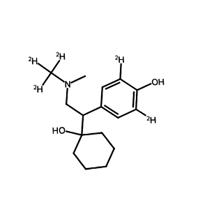 [2H]c1cc(C(CN(C)C([2H])([2H])[2H])C2(O)CCCCC2)cc([2H])c1O